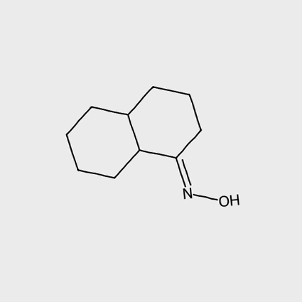 ON=C1CCCC2CCCCC12